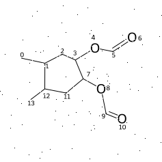 CC1CC(OC=O)C(OC=O)CC1C